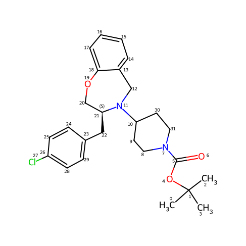 CC(C)(C)OC(=O)N1CCC(N2Cc3ccccc3OC[C@@H]2Cc2ccc(Cl)cc2)CC1